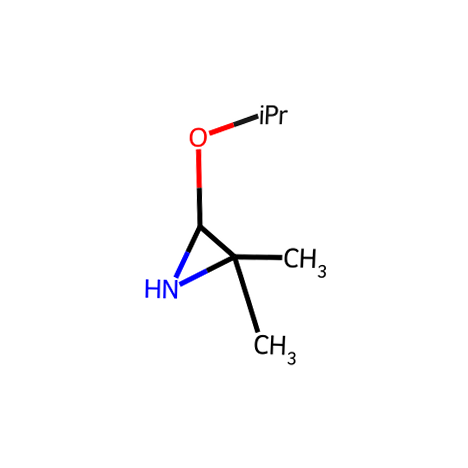 CC(C)OC1NC1(C)C